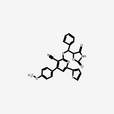 COc1ccc(-c2cc(-c3cccs3)nc(SC(c3ccccc3)C3OC(=O)NC3=O)c2C#N)cc1